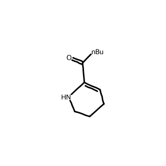 CCCCC(=O)C1=CCCCN1